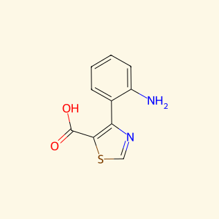 Nc1ccccc1-c1ncsc1C(=O)O